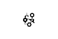 Cc1cn(C2CCCCC2)[c](=[Pt])n1C1CCCCC1.Clc1ccc(CN(I)I)cc1